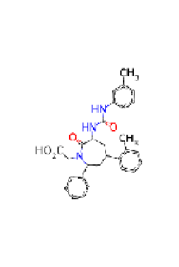 Cc1cccc(NC(=O)NC2CC(c3ccccc3C)CC(c3ccccc3)N(CC(=O)O)C2=O)c1